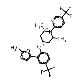 Cc1ncc(-c2cc(C(F)(F)F)ccc2O[C@H]2CC(C)N(c3ccc(C(F)(F)F)cn3)[C@@H](C)C2)o1